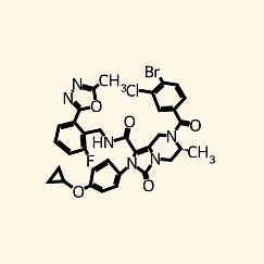 Cc1nnc(-c2cccc(F)c2CNC(=O)c2c3n(c(=O)n2-c2ccc(OC4CC4)cc2)C[C@@H](C)N(C(=O)c2ccc(Br)c(Cl)c2)C3)o1